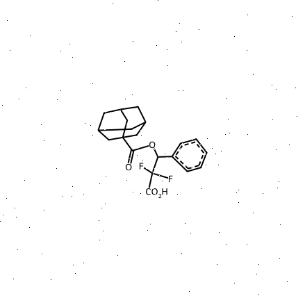 O=C(OC(c1ccccc1)C(F)(F)C(=O)O)C12CC3CC(CC(C3)C1)C2